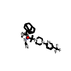 COC(=O)C12CC3CC(C1)C(N/C(=N/C#N)C(C)(C)N1CCN(c4ccc(C(F)(F)F)cn4)CC1)C(C3)C2